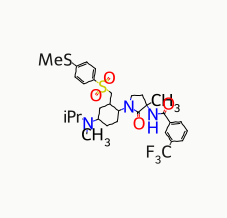 CSc1ccc(S(=O)(=O)CC2CC(N(C)C(C)C)CCC2N2CCC(C)(NC(=O)c3cccc(C(F)(F)F)c3)C2=O)cc1